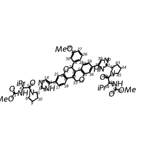 COC(=O)NC(C(=O)N1CCC[C@H]1c1ncc(-c2ccc3c(c2)OC(c2cccc(OC)c2)C2=C3COc3cc(-c4cnc([C@@H]5CCCN5C(=O)C(NC(=O)OC)C(C)C)[nH]4)ccc32)[nH]1)C(C)C